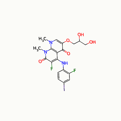 Cn1cc(OCC(O)CO)c(=O)c2c(Nc3ccc(I)cc3F)c(F)c(=O)n(C)c21